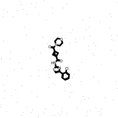 O=C(Nc1nc(-c2ccccc2Cl)cs1)C12CC(C(=O)N3CCOCC3)(C1)C2